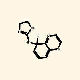 BrC1(NC2=NCCN2)C=CC=C2NC=CN=C21